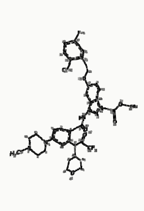 CN1CCN(c2ccc(C(=O)Nc3nn(C(=O)OC(C)(C)C)c4ccc(OCc5cc(F)ccc5Cl)cc34)c(N(C(=O)C(F)(F)F)C3CCOCC3)c2)CC1